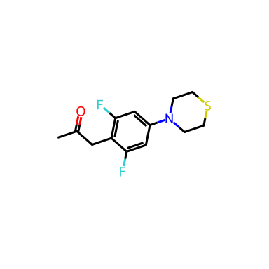 CC(=O)Cc1c(F)cc(N2CCSCC2)cc1F